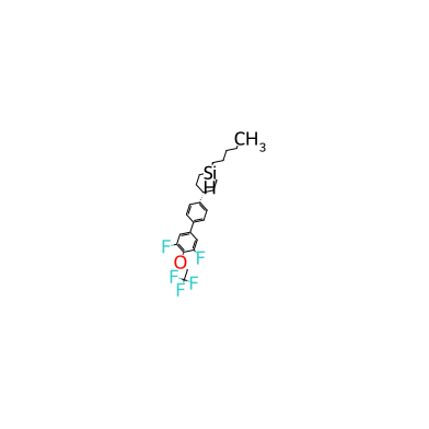 CCCCC[Si@H]1CC[C@H](c2ccc(-c3cc(F)c(OCC(F)(F)F)c(F)c3)cc2)CC1